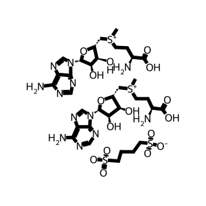 C[S+](CC[C@H](N)C(=O)O)C[C@H]1O[C@@H](n2cnc3c(N)ncnc32)[C@H](O)[C@@H]1O.C[S+](CC[C@H](N)C(=O)O)C[C@H]1O[C@@H](n2cnc3c(N)ncnc32)[C@H](O)[C@@H]1O.O=S(=O)([O-])CCCCS(=O)(=O)[O-]